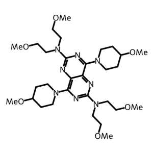 COCCN(CCOC)c1nc(N2CCC(OC)CC2)c2nc(N(CCOC)CCOC)nc(N3CCC(OC)CC3)c2n1